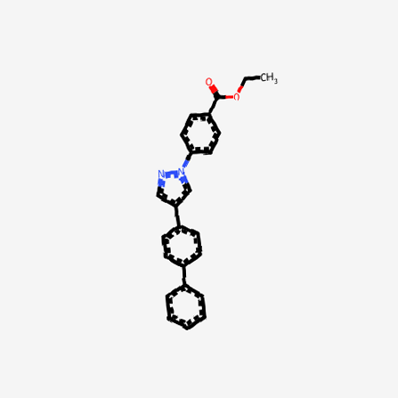 CCOC(=O)c1ccc(-n2cc(-c3ccc(-c4ccccc4)cc3)cn2)cc1